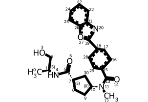 C[C@@H](CO)NC(=O)[C@H]1CC[C@@H](N(C)C(=O)c2ccc(-c3nc4ccccc4o3)cc2)C1